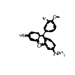 COc1ccc(-c2c3ccc(=N)cc-3oc3cc(N)ccc23)cc1F